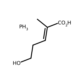 CC(=CCCO)C(=O)O.P